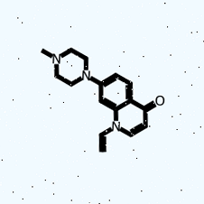 C=Cn1c[c]c(=O)c2ccc(N3CCN(C)CC3)cc21